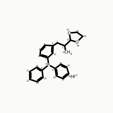 CC(Cc1cccc(P(c2ccccc2)c2ccccc2)c1)C1OCCO1.I